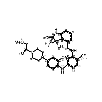 COCC(=O)N1CCN(c2ccc(Nc3ncc(C(F)(F)F)c(NCc4cccc5c4C(C)(C)C(=O)N5)n3)c(OC)c2)CC1